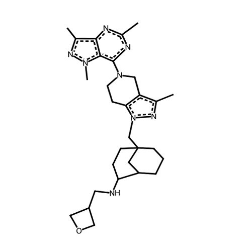 Cc1nc(N2CCc3c(c(C)nn3CC34CCCC(C3)C(NCC3COC3)CC4)C2)c2c(n1)c(C)nn2C